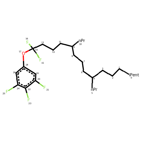 CCCC(C)CCCC(CCC)CCCC(CCC)CCCC(F)(F)Oc1cc(F)c(F)c(F)c1